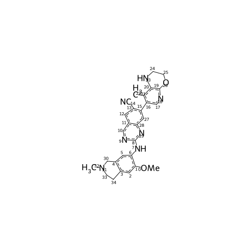 COc1cc2c(cc1Nc1ncc3cc(C#N)c(-c4cnc5c(c4C)NCCO5)cc3n1)CN(C)CC2